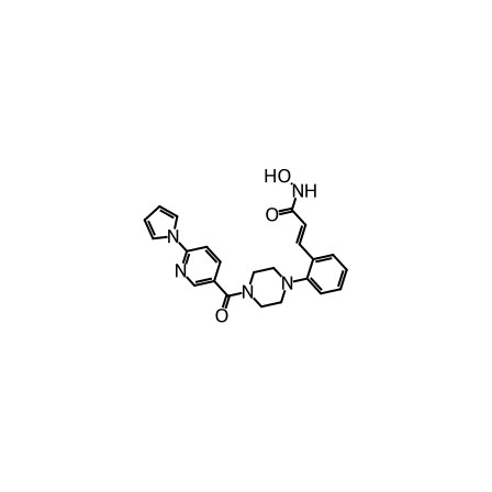 O=C(C=Cc1ccccc1N1CCN(C(=O)c2ccc(-n3cccc3)nc2)CC1)NO